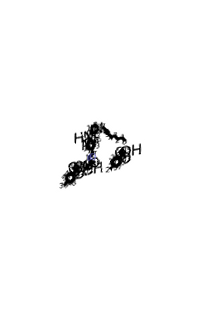 CCCCCC#CCN1CC[C@@H](Nc2ncc(/C=C/C(=O)NO)cc2F)C1.Cc1ccc(S(=O)(=O)O)cc1.Cc1ccc(S(=O)(=O)O)cc1